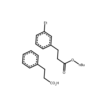 CCCCOC(=O)CCc1cccc(CC)c1.O=C(O)CCc1ccccc1